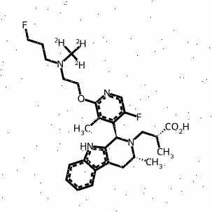 [2H]C([2H])([2H])N(CCCF)CCOc1ncc(F)c([C@@H]2c3[nH]c4ccccc4c3C[C@@H](C)N2C[C@@H](C)C(=O)O)c1C